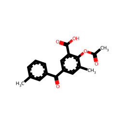 CC(=O)Oc1c(C)cc(C(=O)c2cccc(C)c2)cc1C(=O)O